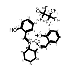 Oc1ccccc1C=[N+]1[Co][N+](=Cc2ccccc2O)C2CCCCC21.[O-]C(F)(F)C(F)(C(F)(F)F)C(F)(F)F